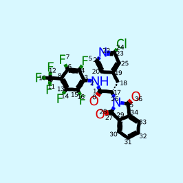 O=C(Nc1c(F)c(F)c(C(F)(F)F)c(F)c1F)[C@H](Cc1ccnc(Cl)c1)N1C(=O)c2ccccc2C1=O